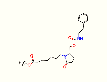 COC(=O)CCCCCCN1C(=O)CCC1COC(=O)NCCc1ccccc1